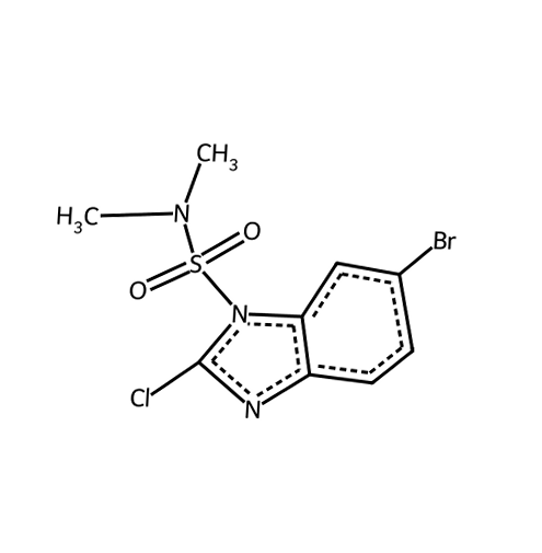 CN(C)S(=O)(=O)n1c(Cl)nc2ccc(Br)cc21